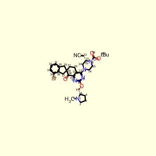 CN1CCC[C@H]1COc1nc2c(c(N3CCN(C(=O)OC(C)(C)C)[C@@H](CC#N)C3)n1)CCC1(Cc3cccc(Br)c3C1)C2=O